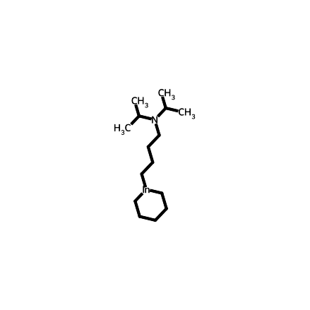 CC(C)N(CCC[CH2][In]1[CH2]CCC[CH2]1)C(C)C